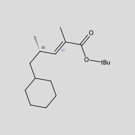 C/C(=C\[C@@H](C)CC1CCCCC1)C(=O)OC(C)(C)C